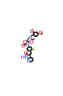 COc1ccc(CN(C[C@H]2CN(c3ccc(C=C4C(=O)Nc5ncccc54)c(F)c3)C(=O)O2)C(C)=O)c(OC)c1